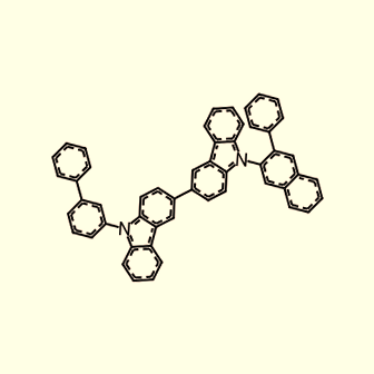 c1ccc(-c2cccc(-n3c4ccccc4c4cc(-c5ccc6c(c5)c5ccccc5n6-c5cc6ccccc6cc5-c5ccccc5)ccc43)c2)cc1